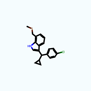 CSCc1cccc2c(C(c3ccc(Cl)cc3)C3CC3)c[nH]c12